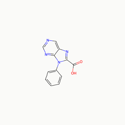 O=C(O)c1nc2cncnc2n1-c1ccccc1